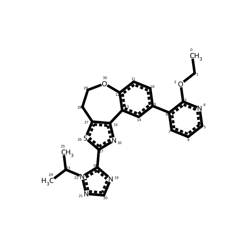 CCOc1ncccc1-c1ccc2c(c1)-c1nc(-c3ncnn3C(C)C)sc1CCO2